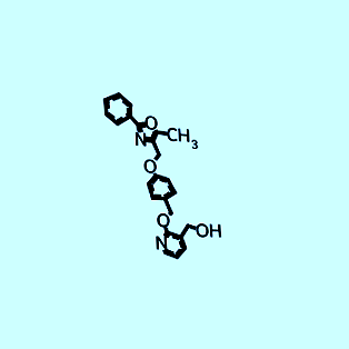 Cc1oc(-c2ccccc2)nc1COc1ccc(COc2ncccc2CO)cc1